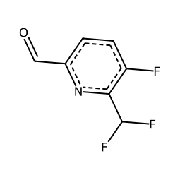 O=Cc1ccc(F)c(C(F)F)n1